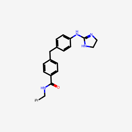 CC(C)CNC(=O)c1ccc(Cc2ccc(NC3=NCCN3)cc2)cc1